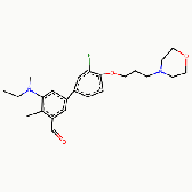 CCN(C)c1cc(-c2ccc(OCCCN3CCOCC3)c(F)c2)cc(C=O)c1C